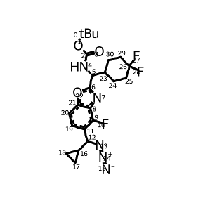 CC(C)(C)OC(=O)N[C@H](c1nc2c(F)c(C(N=[N+]=[N-])C3CC3)ccc2o1)C1CCC(F)(F)CC1